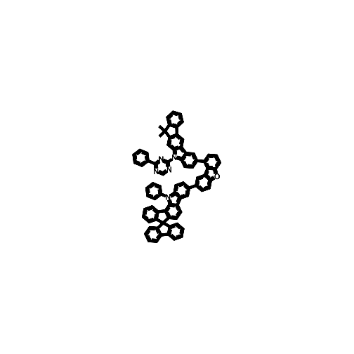 CC1(C)c2ccccc2-c2cc3c4cc(-c5cccc6oc7ccc(-c8ccc9c(c8)c8ccc%10c(c8n9-c8ccccc8)-c8ccccc8C%108c9ccccc9-c9ccccc98)cc7c56)ccc4n(-c4ncnc(-c5ccccc5)n4)c3cc21